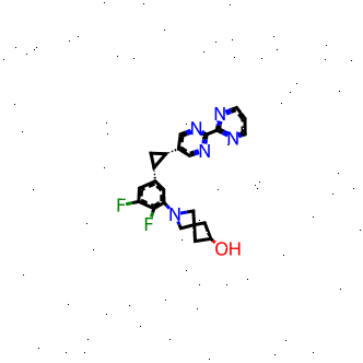 OC1CC2(C1)CN(c1cc([C@@H]3C[C@@H]3c3cnc(-c4ncccn4)nc3)cc(F)c1F)C2